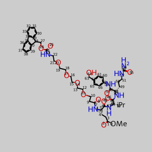 COC(=O)CC[C@H](NC(=O)CCOCCOCCOCCOCCNC(=O)OCC1c2ccccc2-c2ccccc21)C(=O)N[C@H](C(=O)N[C@@H](CCCNC(N)=O)C(=O)Nc1ccc(CO)cc1)C(C)C